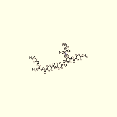 C=CC(=O)OCC[C@H](C)COC(=O)C1CCC(C(=O)OC2CCC(C(=O)Oc3ccc(OC(=O)C4CCC(C)CC4)c4c3S/C(=C(\C#N)C(=O)OC[C@H](C)CC)S4)CC2)CC1